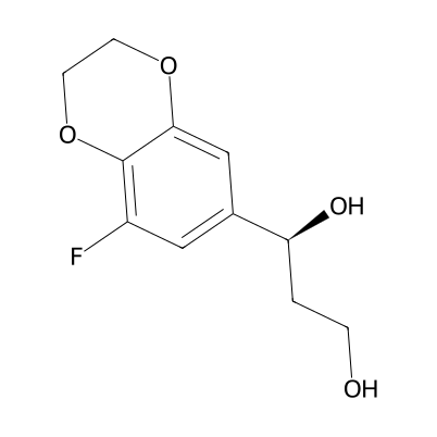 OCC[C@H](O)c1cc(F)c2c(c1)OCCO2